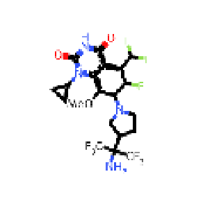 COC1=c2c(c(=O)[nH]c(=O)n2C2CC2)=C(C(F)F)C(F)C1N1CCC(C(N)(C(F)(F)F)C(F)(F)F)C1